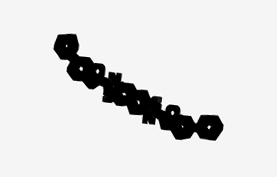 c1ccc(-c2ccc3cc(-c4nc5cc6cc7sc(-c8cc9ccc(-c%10ccccc%10)cc9o8)nc7cc6cc5s4)oc3c2)cc1